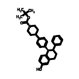 CC(C)(C)OC(=O)N1CCC(c2ccc([C@@H]3c4ccc(O)cc4CCC3c3ccccc3)cc2)CC1